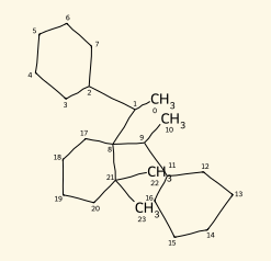 CC(C1CCCCC1)C1(C(C)C2CCCCC2)CCCCC1(C)C